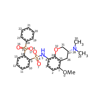 COc1ccc(NS(=O)(=O)c2ccccc2S(=O)(=O)c2ccccc2)c2c1C[C@@H](N(C)C)CO2